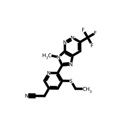 CCSc1cc(CC#N)cnc1-c1nc2cc(C(F)(F)F)nnc2n1C